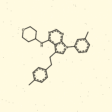 Cc1ccc(CCc2cn(-c3cccc(C)c3)c3ncnc(NC4CCOCC4)c23)cc1